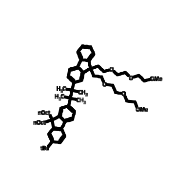 CCCCCCCCC1(CCCCCCCC)c2cc(C(C)(C)C)ccc2-c2ccc(C(C)(C)C(C)(C)c3ccc4c(c3)C(CCOCCOCCOC)(CCOCCOCCOC)c3ccccc3-4)cc21